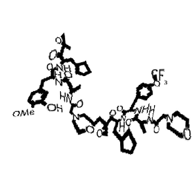 COc1ccc(CC(NC(=O)C(C)NC(=O)CN2CCOC(CC3(C(=O)C(CC4CCCC4)NC(=O)C(Cc4ccc(OC(F)(F)F)cc4)NC(=O)C(C)NC(=O)CN4CCOCC4)CO3)C2)C(=O)NC(CC2=CCCC2)C(=O)C2(C)CO2)cc1O